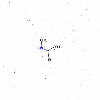 CCC(N[C]=O)C(=O)O